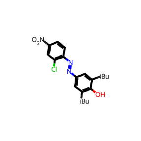 CCC(C)c1cc(N=Nc2ccc([N+](=O)[O-])cc2Cl)cc(C(C)CC)c1O